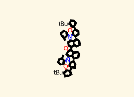 Cc1ccccc1N(c1cc2oc3cc(N(c4ccccc4C)c4cccc5c4oc4c(C(C)(C)C)cccc45)c4ccccc4c3c2c2ccccc12)c1cccc2c1oc1c(C(C)(C)C)cccc12